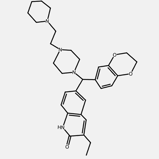 CCc1cc2cc(C(c3ccc4c(c3)OCCO4)N3CCN(CCN4CCCCC4)CC3)ccc2[nH]c1=O